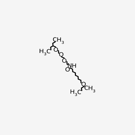 CCCC(CCC)COCCOCCOCCNC(=O)CCCCCCCCOC(C)CCC